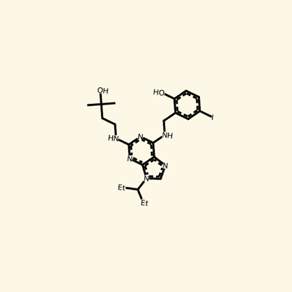 CCC(CC)n1cnc2c(NCc3cc(I)ccc3O)nc(NCCC(C)(C)O)nc21